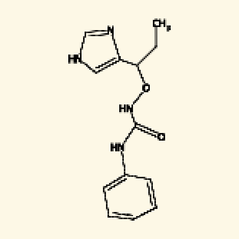 CCC(ONC(=O)Nc1ccccc1)c1c[nH]cn1